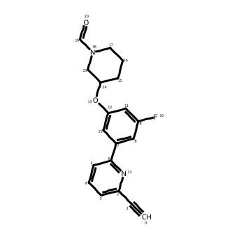 C#Cc1cc[c]c(-c2cc(F)cc(OC3CCCN(C=O)C3)c2)n1